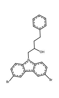 OC(CCc1ccccc1)Cn1c2ccc(Br)cc2c2cc(Br)ccc21